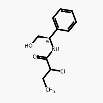 CCC(Cl)C(=O)N[C@@H](CO)c1ccccc1